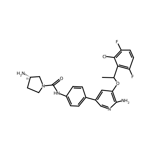 CC(Oc1cc(-c2ccc(NC(=O)N3CC[C@H](N)C3)cc2)cnc1N)c1c(F)ccc(F)c1Cl